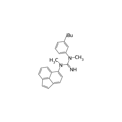 CCC(C)c1cccc(N(C)C(=N)N(C)c2ccc3c4c(cccc24)C=C3)c1